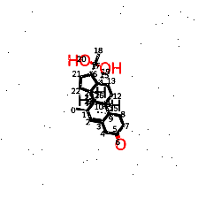 C[C@@H]1C=C2CC(=O)CC[C@]2(C)[C@H]2CC[C@]3(C)[C@@H](C(C)(O)O)CC[C@H]3[C@H]12